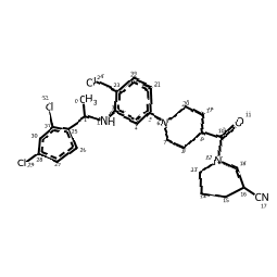 CC(Nc1cc(N2CCC(C(=O)N3CCCC(C#N)C3)CC2)ccc1Cl)c1ccc(Cl)cc1Cl